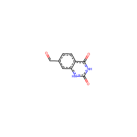 O=Cc1ccc2c(=O)[nH]c(=O)[nH]c2c1